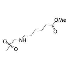 COC(=O)CCCCCNCS(C)(=O)=O